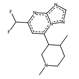 CC1CCN(C)CC1c1cc(C(F)F)nc2ncnn12